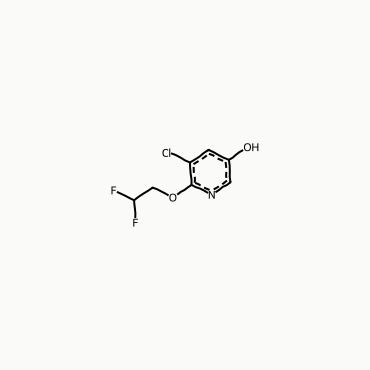 Oc1cnc(OCC(F)F)c(Cl)c1